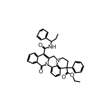 CCOC(=O)C1(c2ccccc2)CCN(Cc2c(C(=O)NC(CC)c3ccccc3)c3ccccc3c(=O)n2-c2ccccc2)CC1